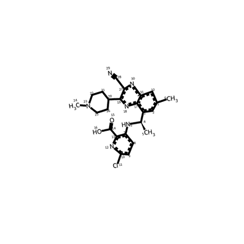 Cc1cc([C@@H](C)Nc2ccc(Cl)nc2C(=O)O)c2nc(C3CCN(C)CC3)c(C#N)nc2c1